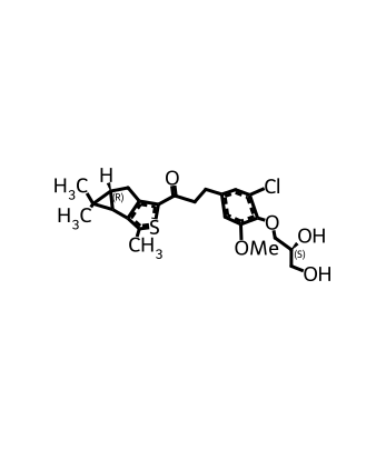 COc1cc(CCC(=O)c2sc(C)c3c2C[C@@H]2C3C2(C)C)cc(Cl)c1OC[C@@H](O)CO